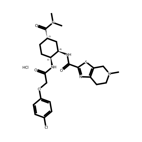 CN1CCc2nc(C(=O)N[C@@H]3C[C@@H](C(=O)N(C)C)CC[C@@H]3NC(=O)COc3ccc(Cl)cc3)sc2C1.Cl